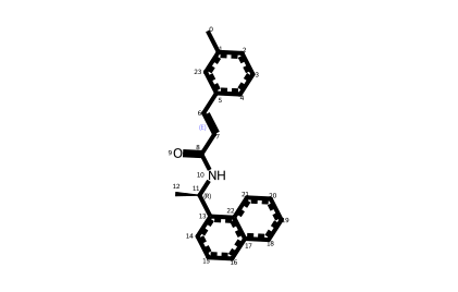 Cc1cccc(/C=C/C(=O)N[C@H](C)c2cccc3ccccc23)c1